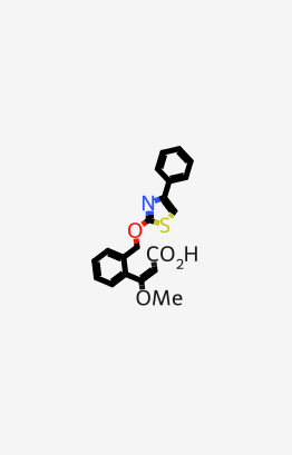 CO/C(=C/C(=O)O)c1ccccc1COc1nc(-c2ccccc2)cs1